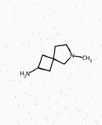 CN1CCC2(CC(N)C2)C1